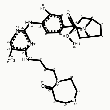 CCc1cc(N2CC3CCC(C2)N3C(=O)OC(C)(C)C)ccc1Nc1ncc(C(F)(F)F)c(NCCCN2CCOCCC2=O)n1